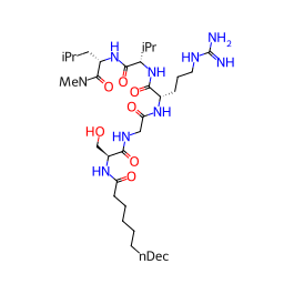 CCCCCCCCCCCCCCCC(=O)N[C@@H](CO)C(=O)NCC(=O)N[C@@H](CCCNC(=N)N)C(=O)N[C@H](C(=O)N[C@@H](CC(C)C)C(=O)NC)C(C)C